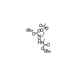 CC(C)(C)OC(=O)NC[C@@H](COS(C)(=O)=O)NC(=O)OC(C)(C)C